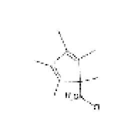 CC1=C(C)[C](C)([GeH2][Cl])C(C)=C1C